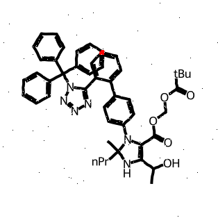 CCCC1(C)NC(C(C)O)=C(C(=O)OCOC(=O)C(C)(C)C)N1c1ccc(-c2ccccc2-c2nnnn2C(c2ccccc2)(c2ccccc2)c2ccccc2)cc1